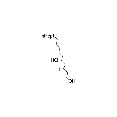 CCCCCCCCCCCCCCNCCO.Cl